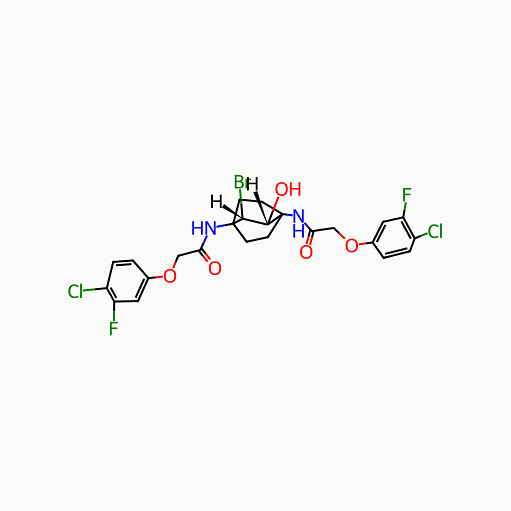 O=C(COc1ccc(Cl)c(F)c1)NC12CCC(NC(=O)COc3ccc(Cl)c(F)c3)(CC1)[C@@H](O)[C@H]2Br